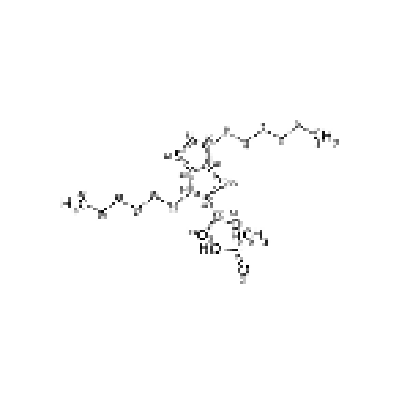 CC(=O)O.CCCCCCc1csc2c(CCCCCC)c(C(=O)O)sc12